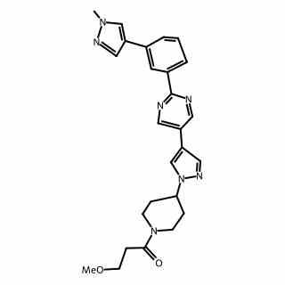 COCCC(=O)N1CCC(n2cc(-c3cnc(-c4cccc(-c5cnn(C)c5)c4)nc3)cn2)CC1